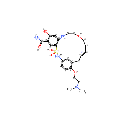 CN(C)CCOc1ccc2cc1C/C=C/CCOCCNc1cc(O)c(C(N)=O)cc1S(=O)(=O)N2